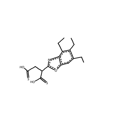 CCc1cc2oc(C(CC(O)=S)C(O)=S)nc2c(CC)c1CC